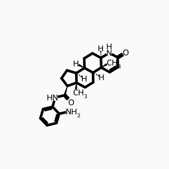 C[C@]12C=CC(=O)N[C@@H]1CC[C@@H]1[C@@H]2CC[C@]2(C)[C@@H](C(=O)Nc3ccccc3N)CC[C@@H]12